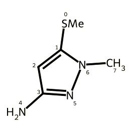 CSc1cc(N)nn1C